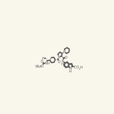 CC(C)(C)OC(=O)N[C@H](CF)[C@H]1CC[C@H](C(=O)N2CC[C@@H](N3CCCCC3)[C@H]2C(=O)Nc2ccc3[nH]c(C(=O)O)cc3c2)CC1